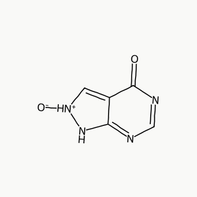 O=C1N=CN=C2N[NH+]([O-])C=C12